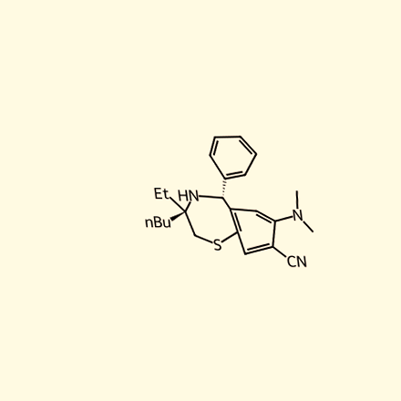 CCCC[C@]1(CC)CSc2cc(C#N)c(N(C)C)cc2[C@@H](c2ccccc2)N1